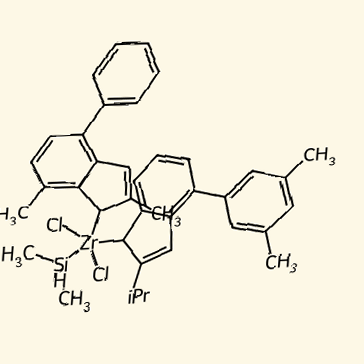 CC1=Cc2c(-c3ccccc3)ccc(C)c2[CH]1[Zr]([Cl])([Cl])([CH]1C(C(C)C)=Cc2c(-c3cc(C)cc(C)c3)cccc21)[SiH](C)C